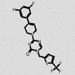 O=c1nc(N2CC=C(c3cc(F)cc(F)c3)CC2)ncn1Cc1ccc(C(F)(F)F)s1